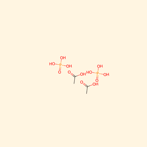 CC(=O)O.CC(=O)O.O=P(O)(O)O.O=P(O)(O)O